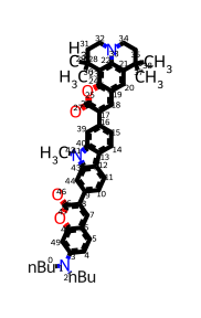 CCCCN(CCCC)c1ccc2cc(-c3ccc4c5ccc(-c6cc7cc8c9c(c7oc6=O)C(C)(C)CCN9CCC8(C)C)cc5n(C)c4c3)c(=O)oc2c1